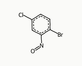 O=Nc1cc(Cl)ccc1Br